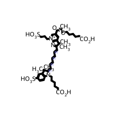 CN(OCCCCCC(=O)O)C(=O)c1cc2c([n+](CCCS(=O)(=O)O)c1)N=C(/C=C/C=C/C=C/C=C1/N(CCCCCC(=O)O)c3ccc(S(=O)(=O)O)cc3C1(C)C)C2(C)C